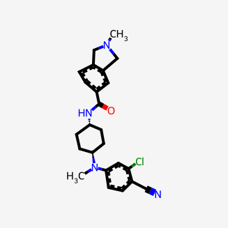 CN1Cc2ccc(C(=O)N[C@H]3CC[C@H](N(C)c4ccc(C#N)c(Cl)c4)CC3)cc2C1